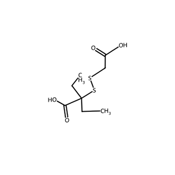 CCC(CC)(SSCC(=O)O)C(=O)O